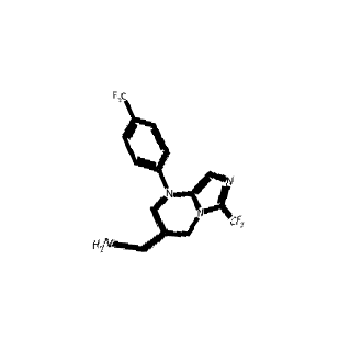 NCC1CN(c2ccc(C(F)(F)F)cc2)c2cnc(C(F)(F)F)n2C1